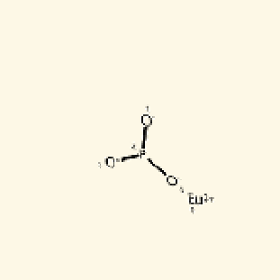 [Eu+3].[O-]P([O-])[O-]